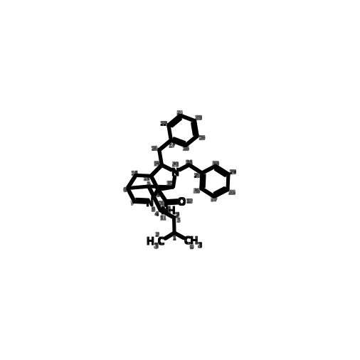 CC(C)CCC1C2C=NC3(C(N)=O)C(C2)C(Cc2ccccc2)N(Cc2ccccc2)C13